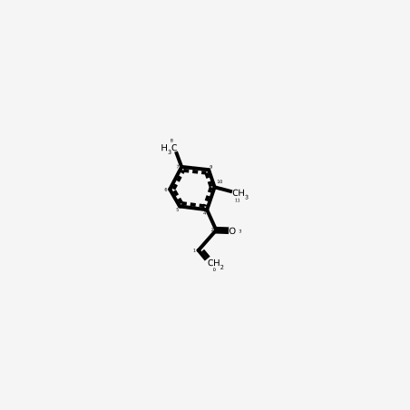 C=CC(=O)c1ccc(C)cc1C